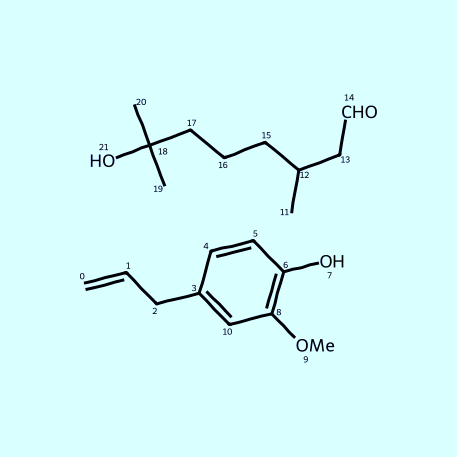 C=CCc1ccc(O)c(OC)c1.CC(CC=O)CCCC(C)(C)O